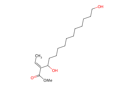 CC=C(C(=O)OC)C(O)CCCCCCCCCCCO